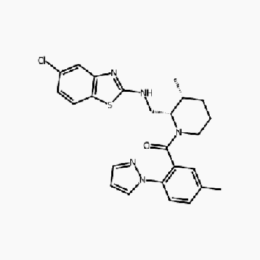 Cc1ccc(-n2cccn2)c(C(=O)N2CCC[C@@H](C)[C@H]2CNc2nc3cc(Cl)ccc3s2)c1